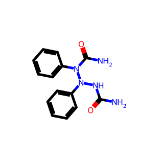 NC(=O)NN(c1ccccc1)N(C(N)=O)c1ccccc1